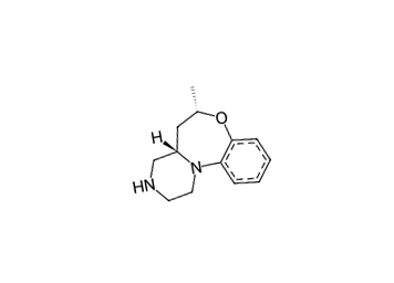 C[C@H]1C[C@H]2CNCCN2c2ccccc2O1